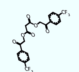 O=C(CC(=O)OCC(=O)c1ccc(C(F)(F)F)cc1)OCC(=O)c1ccc(C(F)(F)F)cc1